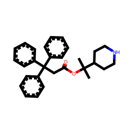 CC(C)(OC(=O)CC(c1ccccc1)(c1ccccc1)c1ccccc1)C1CCNCC1